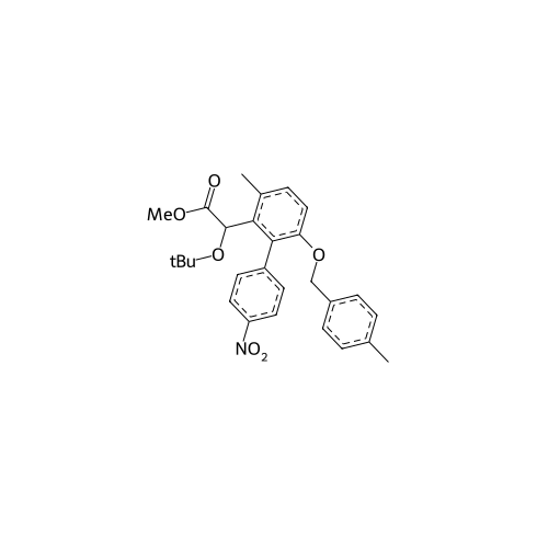 COC(=O)C(OC(C)(C)C)c1c(C)ccc(OCc2ccc(C)cc2)c1-c1ccc([N+](=O)[O-])cc1